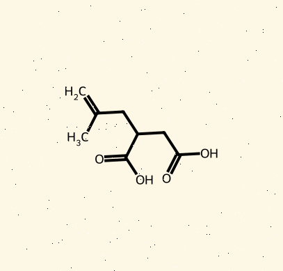 C=C(C)CC(CC(=O)O)C(=O)O